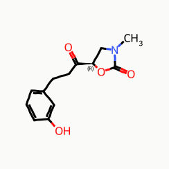 CN1C[C@H](C(=O)CCc2cccc(O)c2)OC1=O